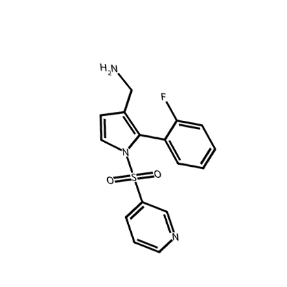 NCc1ccn(S(=O)(=O)c2cccnc2)c1-c1ccccc1F